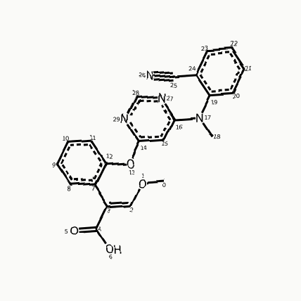 CO/C=C(/C(=O)O)c1ccccc1Oc1cc(N(C)c2ccccc2C#N)ncn1